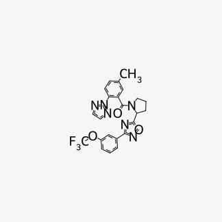 Cc1ccc(-n2nccn2)c(C(=O)N2CCCC2c2nc(-c3cccc(OC(F)(F)F)c3)no2)c1